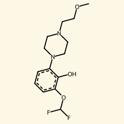 COCCN1CCN(c2cccc(OC(F)F)c2O)CC1